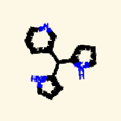 c1cncc(C(c2ccc[nH]2)c2ccc[nH]2)c1